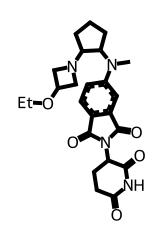 CCOC1CN(C2CCCC2N(C)c2ccc3c(c2)C(=O)N(C2CCC(=O)NC2=O)C3=O)C1